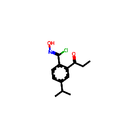 CCC(=O)c1cc(C(C)C)ccc1C(Cl)=NO